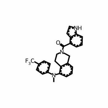 CN(c1ccc(C(F)(F)F)cc1)c1cccc2c1CCN(C(=O)c1cccc3[nH]ccc13)C2